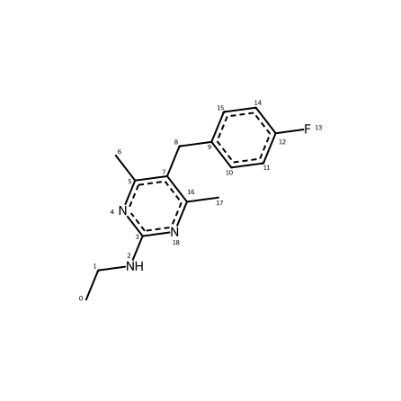 CCNc1nc(C)c(Cc2ccc(F)cc2)c(C)n1